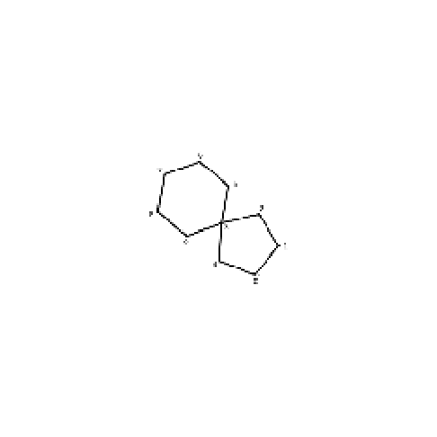 [CH]1CCC2(C1)CCCCC2